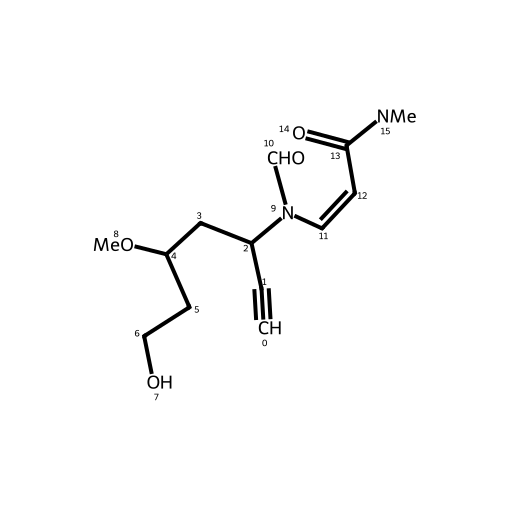 C#CC(CC(CCO)OC)N(C=O)/C=C\C(=O)NC